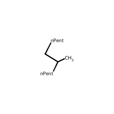 C[CH]CCCC(C)CCCCCC